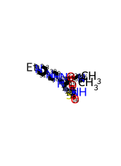 CCN1CCC(N2CCN(c3nc(/C=C4/SC(=O)NC4=O)cc(OCCN(C)C)n3)CC2)CC1